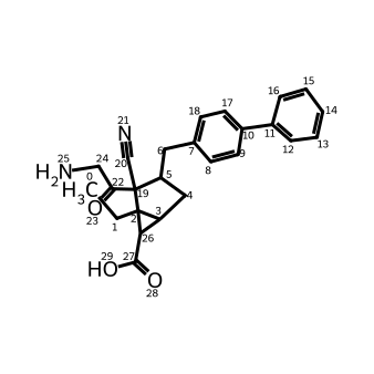 CCC12C(CC(Cc3ccc(-c4ccccc4)cc3)C1(C#N)C(=O)CN)C2C(=O)O